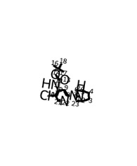 CN1C2CC[C@@H]1CN(c1cc(NC(=O)OC(C)(C)C)c(Cl)cn1)C2